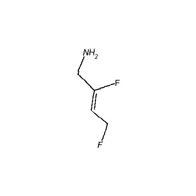 NCC(F)=CCF